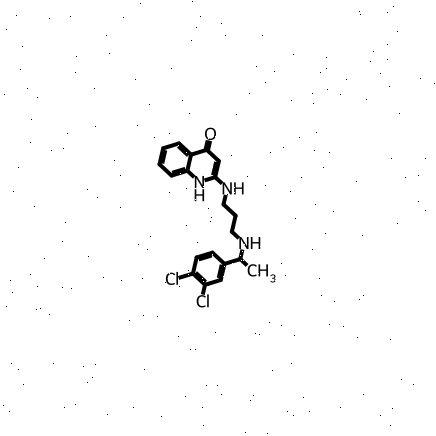 CC(NCCCNc1cc(=O)c2ccccc2[nH]1)c1ccc(Cl)c(Cl)c1